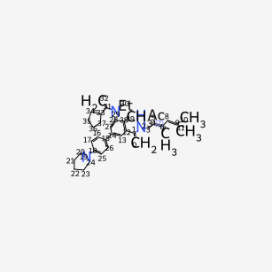 C=C(NC/C(C(C)=O)=C(\C)C=C(C)C)c1cc(-c2ccc(N3CCCCC3)cc2)cc(N(CC)C(=C)C2CCCC2)c1C